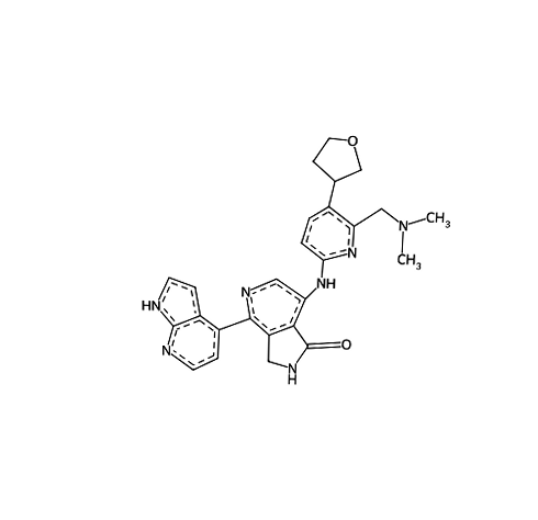 CN(C)Cc1nc(Nc2cnc(-c3ccnc4[nH]ccc34)c3c2C(=O)NC3)ccc1C1CCOC1